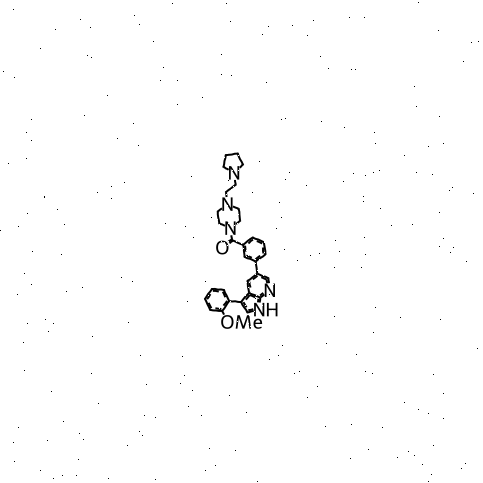 COc1ccccc1-c1c[nH]c2ncc(-c3cccc(C(=O)N4CCN(CCN5CCCC5)CC4)c3)cc12